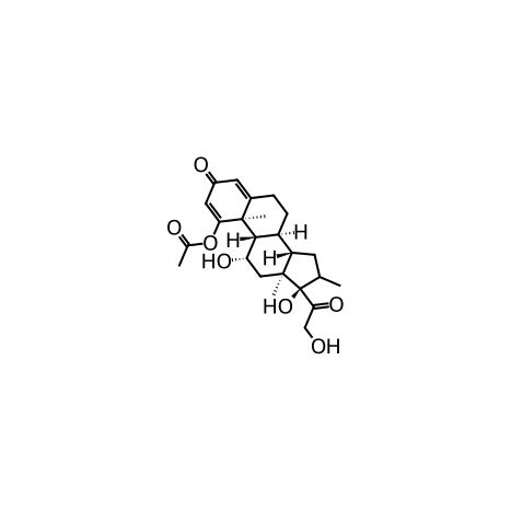 CC(=O)OC1=CC(=O)C=C2CC[C@@H]3[C@H]([C@@H](O)C[C@@]4(C)[C@H]3CC(C)[C@]4(O)C(=O)CO)[C@]21C